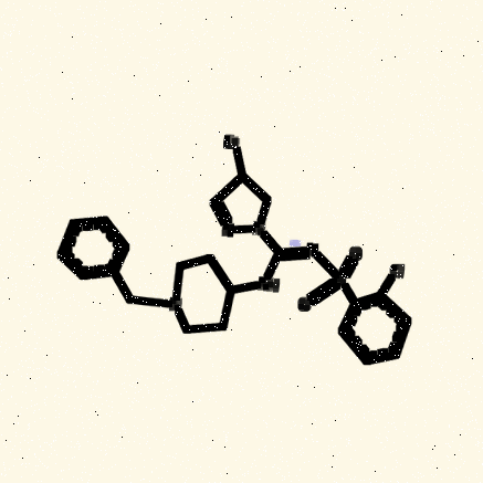 CCC1C=NN(/C(=N/S(=O)(=O)c2ccccc2Cl)NC2CCN(Cc3ccccc3)CC2)C1